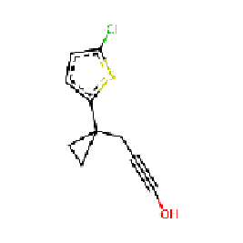 OC#CCC1(c2ccc(Cl)s2)CC1